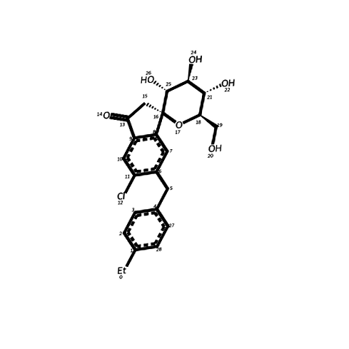 CCc1ccc(Cc2cc3c(cc2Cl)C(=O)C[C@]32O[C@H](CO)[C@@H](O)[C@H](O)[C@H]2O)cc1